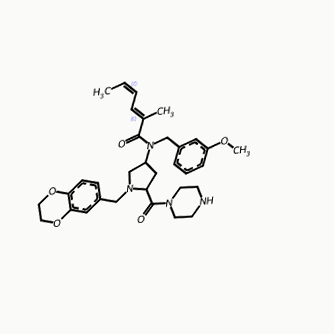 C/C=C\C=C(/C)C(=O)N(Cc1cccc(OC)c1)C1CC(C(=O)N2CCNCC2)N(Cc2ccc3c(c2)OCCO3)C1